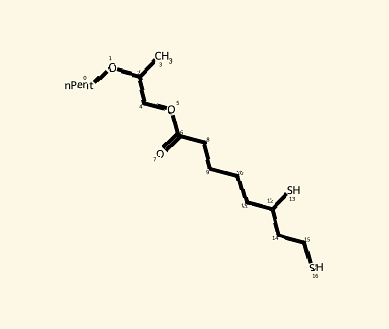 CCCCCOC(C)COC(=O)CCCCC(S)CCS